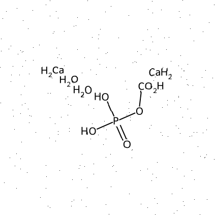 O.O.O=C(O)OP(=O)(O)O.[CaH2].[CaH2]